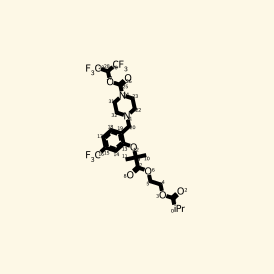 CC(C)C(=O)OCCOC(=O)C(C)(C)Oc1cc(C(F)(F)F)ccc1CN1CCN(C(=O)OC(C(F)(F)F)C(F)(F)F)CC1